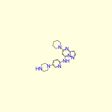 c1cc2nc(N3CCCCC3)cc(Nc3ccc(N4CCNCC4)cn3)n2n1